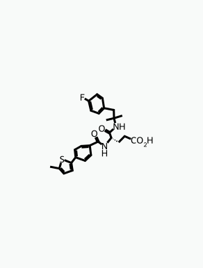 Cc1ccc(-c2ccc(C(=O)N[C@@H](CCC(=O)O)C(=O)NC(C)(C)Cc3ccc(F)cc3)cc2)s1